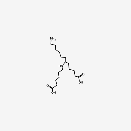 NCCCCCCC(CCCCC(=O)O)NCCCCCC(=O)O